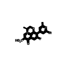 CCc1cc(-c2c(F)cc3c(=O)c(C(=O)O)cn4c3c2OC[C@@H]4C)cc(C)n1